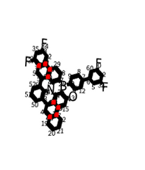 Fc1cc(F)cc(-c2ccc3c(c2)Oc2cc(-c4ccccc4)cc4c2B3c2ccc(-c3cc(F)cc(F)c3)cc2N4c2c(-c3ccccc3)cccc2-c2ccccc2)c1